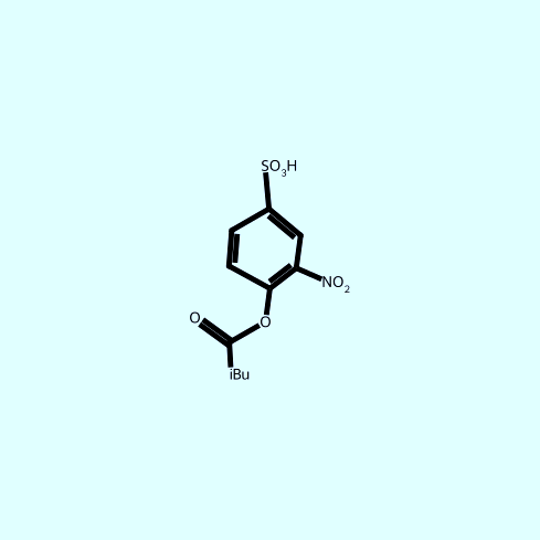 CCC(C)C(=O)Oc1ccc(S(=O)(=O)O)cc1[N+](=O)[O-]